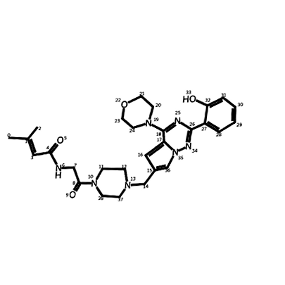 CC(C)=CC(=O)NCC(=O)N1CCN(Cc2cc3c(N4CCOCC4)nc(-c4ccccc4O)nn3c2)CC1